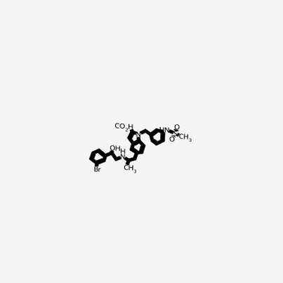 CC(Cc1ccc2c(c1)cc(C(=O)O)n2Cc1cccc(NS(C)(=O)=O)c1)NCC(O)c1cccc(Br)c1